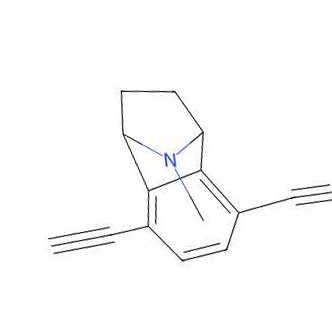 C#Cc1ccc(C#C)c2c1C1CCC2N1C